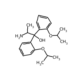 CC(C)Oc1ccccc1C(O)(c1ccccc1OC(C)C)C(C)N